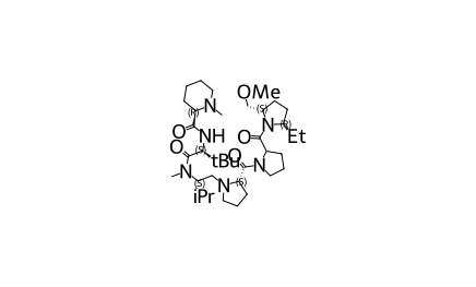 CC[C@@H]1CC[C@@H](COC)N1C(=O)C1CCCN1C(=O)[C@@H]1CCCN1C[C@H](C(C)C)N(C)C(=O)[C@@H](NC(=O)[C@H]1CCCCN1C)C(C)(C)C